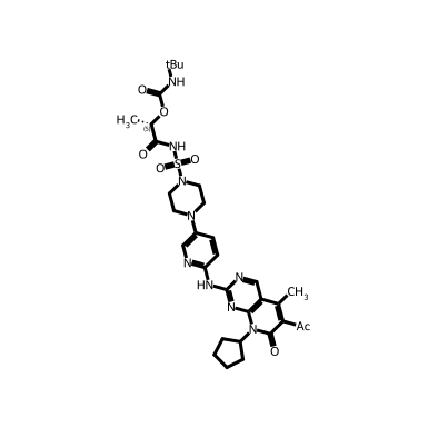 CC(=O)c1c(C)c2cnc(Nc3ccc(N4CCN(S(=O)(=O)NC(=O)[C@H](C)OC(=O)NC(C)(C)C)CC4)cn3)nc2n(C2CCCC2)c1=O